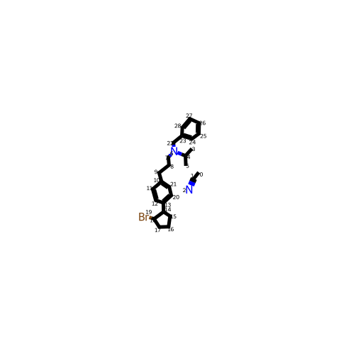 CC#N.CC(C)N(CCCc1ccc(C2CCCC2Br)cc1)Cc1ccccc1